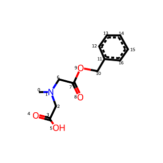 CN(CC(=O)O)CC(=O)OCc1ccccc1